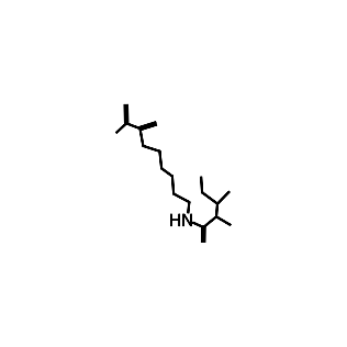 C=C(C)C(=C)CCCCCCNC(=C)C(C)C(C)CC